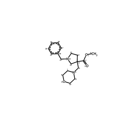 COC(=O)C1(CN2CCOCC2)CCN(Cc2ccccc2)C1